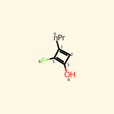 CCCC1=CC(O)=C1F